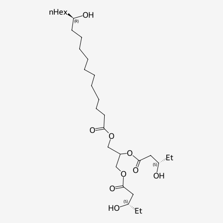 CCCCCC[C@@H](O)CCCCCCCCCCC(=O)OCC(COC(=O)C[C@@H](O)CC)OC(=O)C[C@@H](O)CC